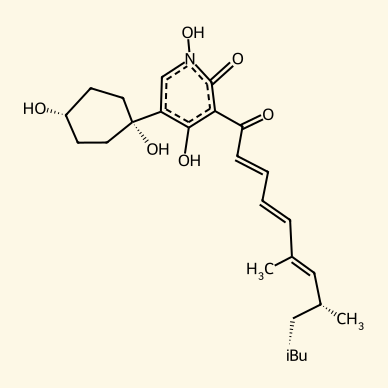 CC[C@@H](C)C[C@@H](C)/C=C(C)/C=C/C=C/C(=O)c1c(O)c([C@]2(O)CC[C@@H](O)CC2)cn(O)c1=O